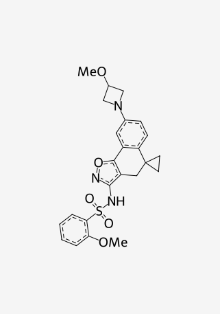 COc1ccccc1S(=O)(=O)Nc1noc2c1CC1(CC1)c1ccc(N3CC(OC)C3)cc1-2